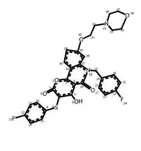 O=c1oc2c(c(O)c1Sc1ccc(F)cc1)c(=O)n(Cc1ccc(F)cc1)c1cc(OCCN3CCOCC3)ccc21